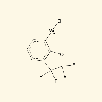 FC1(F)Oc2[c]([Mg][Cl])cccc2C1(F)F